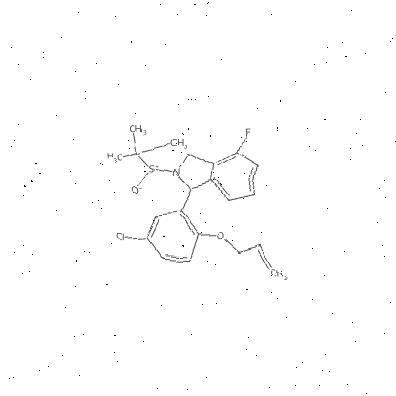 C=CCOc1ccc(Cl)cc1C1c2cccc(F)c2CN1[S+]([O-])C(C)(C)C